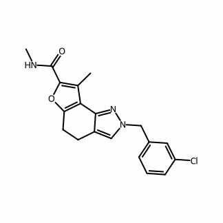 CNC(=O)c1oc2c(c1C)-c1nn(Cc3cccc(Cl)c3)cc1CC2